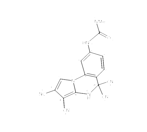 CNC(=O)Nc1ccc2c(c1)-n1cc(C#N)c(C#N)c1NC2(C#N)C#N